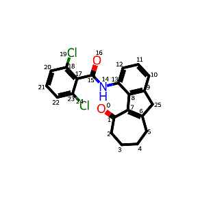 O=C1CCCCC2=C1c1c(cccc1NC(=O)c1c(Cl)cccc1Cl)C2